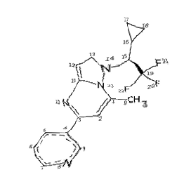 CC1=CC(c2cccnc2)=NC2=CCN([C@@H](C3CC3)C(F)(F)F)N12